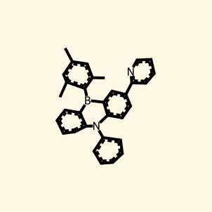 Cc1cc(C)c(B2c3ccccc3N(c3ccccc3)c3ccc(-c4ccccn4)cc32)c(C)c1